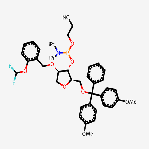 COc1ccc(C(OC[C@H]2OC[C@H](OCc3ccccc3OC(F)F)[C@@H]2OP(OCCC#N)N(C(C)C)C(C)C)(c2ccccc2)c2ccc(OC)cc2)cc1